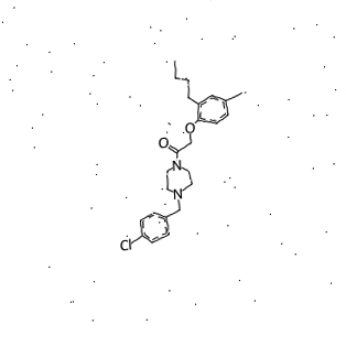 CCCCc1cc(C)ccc1OCC(=O)N1CCN(Cc2ccc(Cl)cc2)CC1